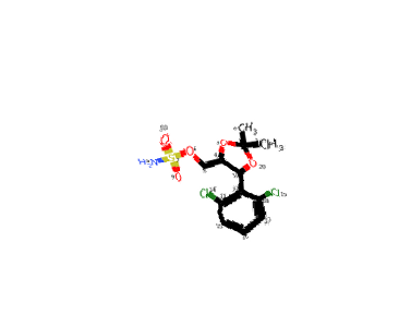 CC1(C)OC(COS(N)(=O)=O)C(c2c(Cl)cccc2Cl)O1